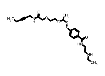 CCC#CCNC(=O)COCCOC(C)SSc1ccc(C(=O)NCCNCC)cc1